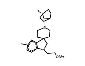 COCCN1CC2(CCN([C@@H]3C[C@H]4CCC3C4)CC2)c2cc(C)ccc21